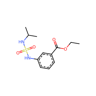 CCOC(=O)c1cccc(NS(=O)(=O)NC(C)C)c1